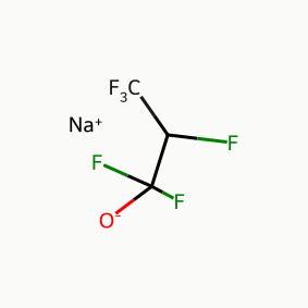 [Na+].[O-]C(F)(F)C(F)C(F)(F)F